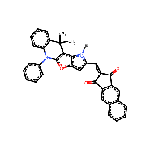 CCn1c(C=C2C(=O)c3cc4ccccc4cc3C2=O)cc2oc3c(c21)C(C)(C)c1ccccc1N3c1ccccc1